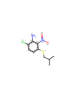 CC(C)CSc1ccc(Cl)c(N)c1[N+](=O)[O-]